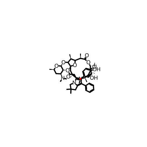 C[C@H]1CN(C)[C@H](C)[C@@H](O)[C@](C)(O)[C@@H](I)OC(=O)[C@H](C)C2O[C@](C)(C1)C(O[C@@H]1O[C@H](C)C[C@H](N(C)C)[C@H]1OC(=O)Cc1c(-c3ccc(Cl)cc3)c(-c3ccccc3)c3n1CC(C)(C)C3)[C@H]2C